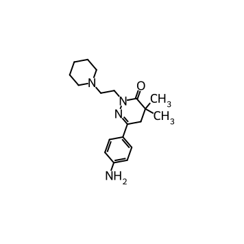 CC1(C)CC(c2ccc(N)cc2)=NN(CCN2CCCCC2)C1=O